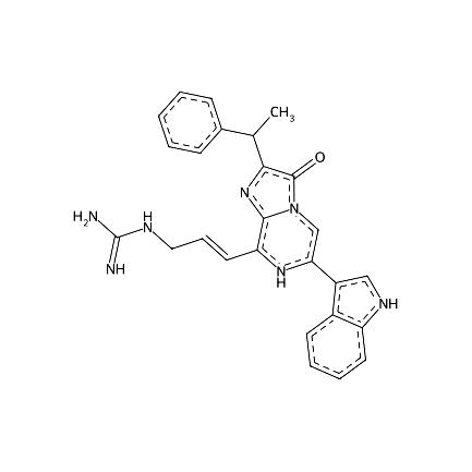 CC(c1ccccc1)c1nc2c(/C=C/CNC(=N)N)[nH]c(-c3c[nH]c4ccccc34)cn-2c1=O